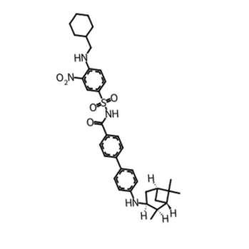 C[C@H]1[C@@H](Nc2ccc(-c3ccc(C(=O)NS(=O)(=O)c4ccc(NCC5CCCCC5)c([N+](=O)[O-])c4)cc3)cc2)C[C@@H]2C[C@@H]1C2(C)C